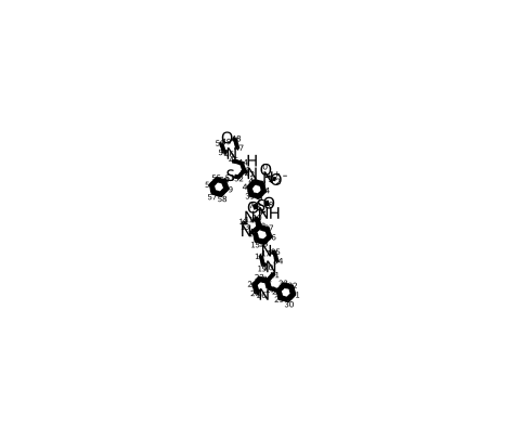 O=[N+]([O-])c1cc(S(=O)(=O)Nc2ncnc3cc(N4CCN(Cc5cccnc5-c5ccccc5)CC4)ccc23)ccc1NC(CCN1CCOCC1)CSc1ccccc1